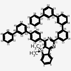 C[Si]1(C)c2ccccc2-c2nc(-c3cccc(-c4cccc(-c5cccc(-c6ccccc6)c5)c4)c3)nc(-c3ccc(-c4cccc(-c5ccccc5)c4)cc3)c21